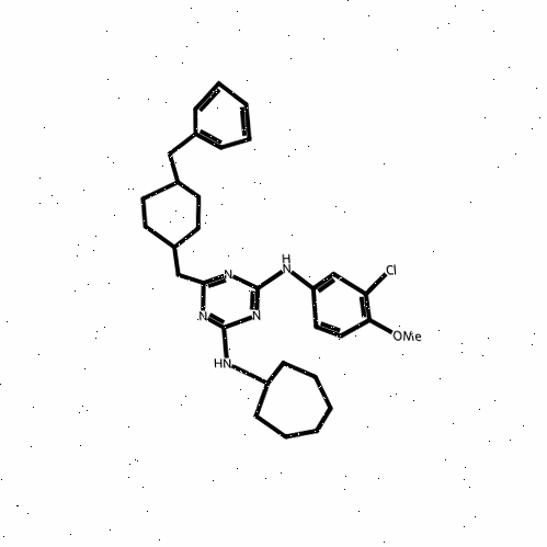 COc1ccc(Nc2nc(CC3CCC(Cc4ccccc4)CC3)nc(NC3CCCCCC3)n2)cc1Cl